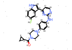 O=C(C1CC1)N1CCN(c2ccc(Nc3nccc(-c4c[nH]c5ccc(F)cc45)n3)cc2)CC1